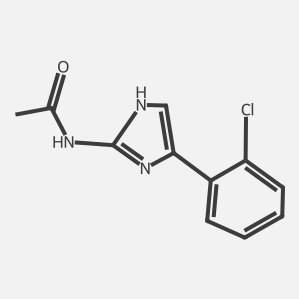 CC(=O)Nc1nc(-c2ccccc2Cl)c[nH]1